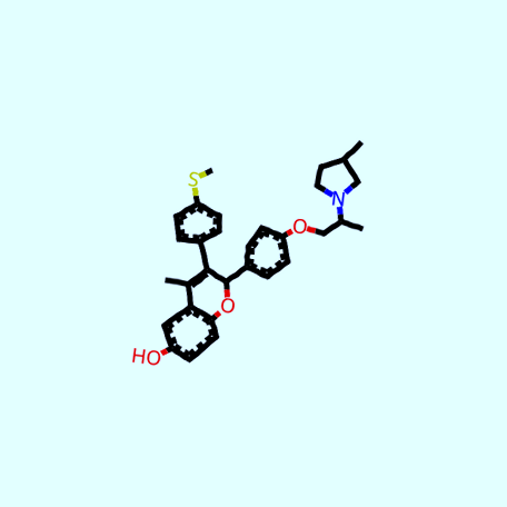 CSc1ccc(C2=C(C)c3cc(O)ccc3OC2c2ccc(OCC(C)N3CCC(C)C3)cc2)cc1